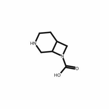 O=C(O)N1CC2CCNCC21